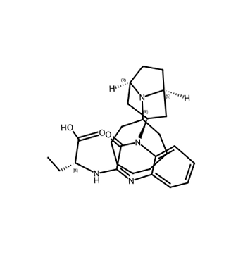 CC[C@@H](Nc1nc2ccccc2n([C@H]2C[C@H]3CC[C@@H](C2)N3C2CCCCCCC2)c1=O)C(=O)O